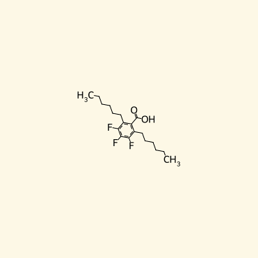 CCCCCCc1c(F)c(F)c(F)c(CCCCCC)c1C(=O)O